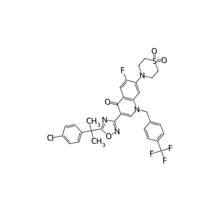 CC(C)(c1ccc(Cl)cc1)c1nc(-c2cn(Cc3ccc(C(F)(F)F)cc3)c3cc(N4CCS(=O)(=O)CC4)c(F)cc3c2=O)no1